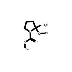 CCOC1(C(=O)O)CCCN1C(=O)OC(C)(C)C